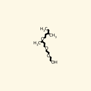 CCC(C)CCOC(C)CCOCCOCCO